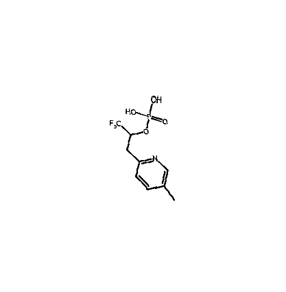 Cc1ccc(CC(OP(=O)(O)O)C(F)(F)F)nc1